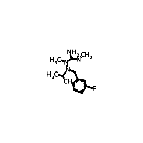 C=NC(N)N(C)N(Cc1cccc(F)c1)C(C)C